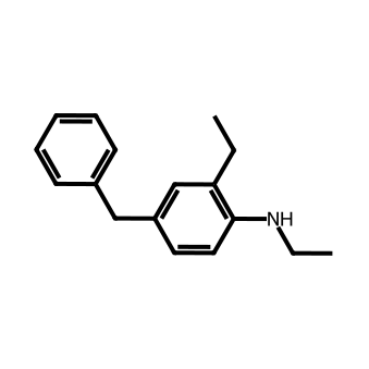 CCNc1ccc(Cc2ccccc2)cc1CC